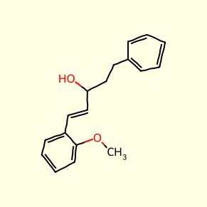 COc1ccccc1/C=C/C(O)CCc1ccccc1